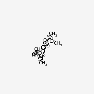 CCOc1nc(C)sc1C(=O)NS(=O)(=O)c1cccc(CCOc2cc(C)sc2C(=O)NS(=O)(=O)CC)c1